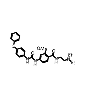 CCN(CC)CCNC(=O)c1ccc(NC(=O)Nc2ccc(Sc3ccccc3)cc2)cc1OC